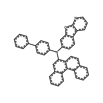 c1ccc(-c2ccc(N(c3ccc4c(c3)oc3ncccc34)c3cc4ccccc4c4c3ccc3ccccc34)cc2)cc1